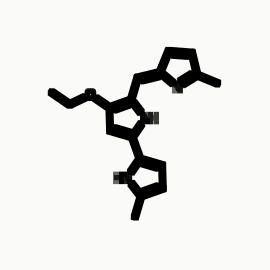 CCOc1cc(-c2ccc(C)[nH]2)[nH]c1C=C1C=CC(C)=N1